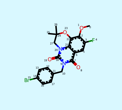 COc1c(F)cc2c(=O)n(Cc3ccc(Br)cc3)c(=O)n3c2c1OC(C)(C)C3